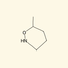 CC1CC[CH]NO1